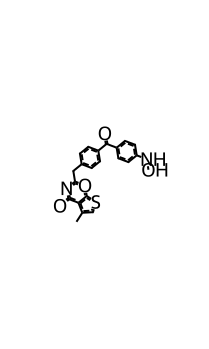 Cc1csc2oc(Cc3ccc(C(=O)c4ccc(NO)cc4)cc3)nc(=O)c12